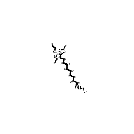 CCO[Si](OCC)(OCC)C(C)CCCCCCCCCCN